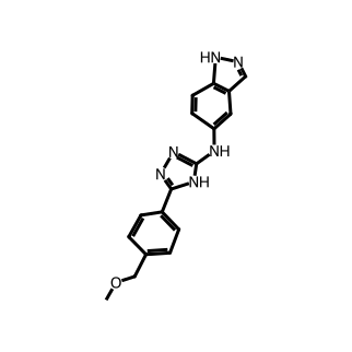 COCc1ccc(-c2nnc(Nc3ccc4[nH]ncc4c3)[nH]2)cc1